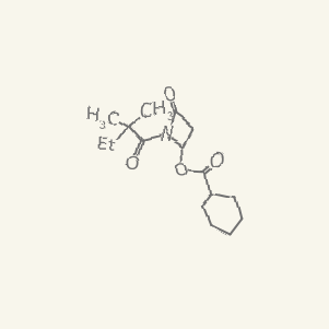 CCC(C)(C)C(=O)N1C(=O)CC1OC(=O)C1CCCCC1